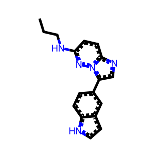 CCCNc1ccc2ncc(-c3ccc4[nH]ccc4c3)n2n1